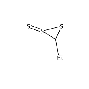 CCC1SS1=S